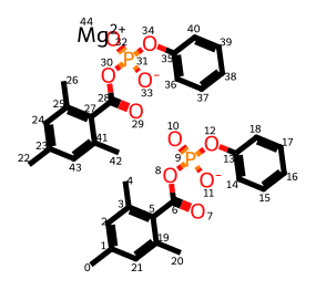 Cc1cc(C)c(C(=O)OP(=O)([O-])Oc2ccccc2)c(C)c1.Cc1cc(C)c(C(=O)OP(=O)([O-])Oc2ccccc2)c(C)c1.[Mg+2]